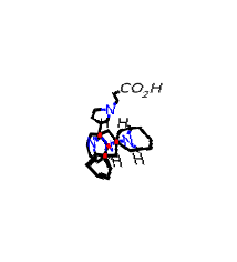 O=C(O)CCN1CCC(c2nc3ccccc3n2C2C[C@H]3CCC[C@@H](C2)N3C2C[C@H]3CCCC[C@@H](C2)C3)C1